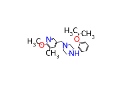 COc1ncc(CN2CCN[C@@H](c3ccccc3OC(C)C)C2)cc1C